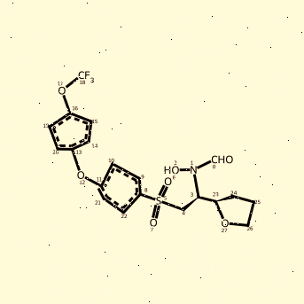 O=CN(O)[C@H](CS(=O)(=O)c1ccc(Oc2ccc(OC(F)(F)F)cc2)cc1)[C@H]1CCCO1